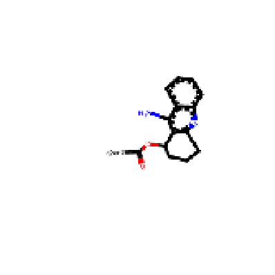 CCCCCC(=O)OC1CCCc2nc3ccccc3c(N)c21